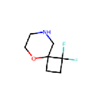 FC1(F)CCC12CNCCO2